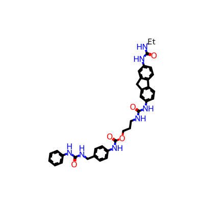 CCNC(=O)Nc1ccc2c(c1)Cc1cc(NC(=O)NCCCOC(=O)Nc3ccc(CNC(=O)Nc4ccccc4)cc3)ccc1-2